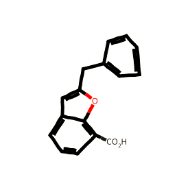 O=C(O)c1cccc2cc(Cc3ccccc3)oc12